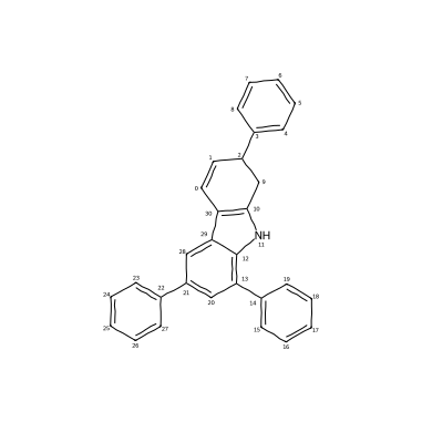 C1=CC(c2ccccc2)Cc2[nH]c3c(-c4ccccc4)cc(-c4ccccc4)cc3c21